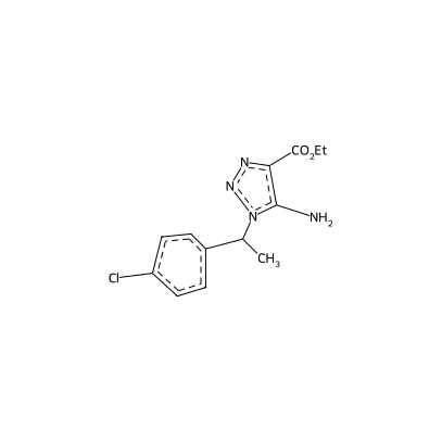 CCOC(=O)c1nnn(C(C)c2ccc(Cl)cc2)c1N